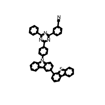 N#Cc1cccc(-c2nc(-c3ccccc3)nc(-c3ccc(-n4c5ccccc5c5cc(-c6cccc7c6sc6ccccc67)ccc54)cc3)n2)c1